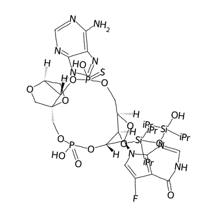 CC(C)[Si](O)(O[Si](O[C@H]1[C@H]2OP(=O)(O)OC[C@@]34CO[C@@H]([C@H](n5cnc6c(N)ncnc65)O3)[C@@H]4OP(O)(=S)OC[C@H]1O[C@H]2n1cc(F)c2c(=O)[nH]cnc21)(C(C)C)C(C)C)C(C)C